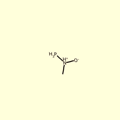 C[NH+]([O-])P